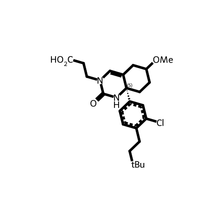 COC1CC[C@@]2(c3ccc(CCC(C)(C)C)c(Cl)c3)NC(=O)N(CCC(=O)O)C=C2C1